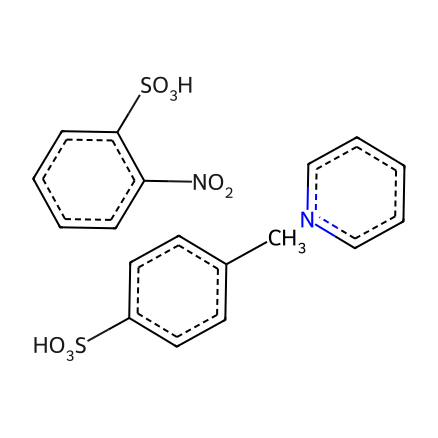 Cc1ccc(S(=O)(=O)O)cc1.O=[N+]([O-])c1ccccc1S(=O)(=O)O.c1ccncc1